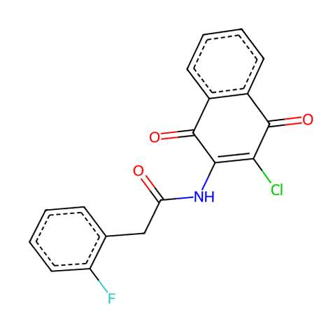 O=C(Cc1ccccc1F)NC1=C(Cl)C(=O)c2ccccc2C1=O